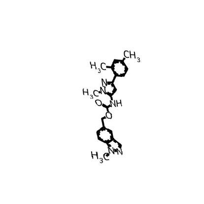 Cc1ccc(-c2cc(NC(=O)OCc3ccc4c(cnn4C)c3)n(C)n2)c(C)c1